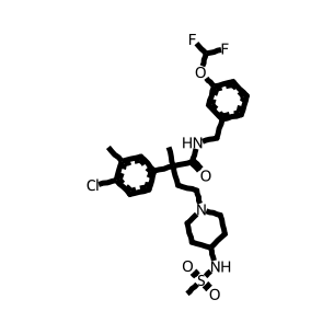 Cc1cc(C(C)(CCN2CCC(NS(C)(=O)=O)CC2)C(=O)NCc2cccc(OC(F)F)c2)ccc1Cl